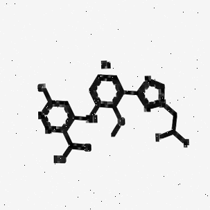 COc1c(Nc2cc(Cl)nnc2C(=O)O)cccc1-c1ncn(CC(F)F)n1.[Zn]